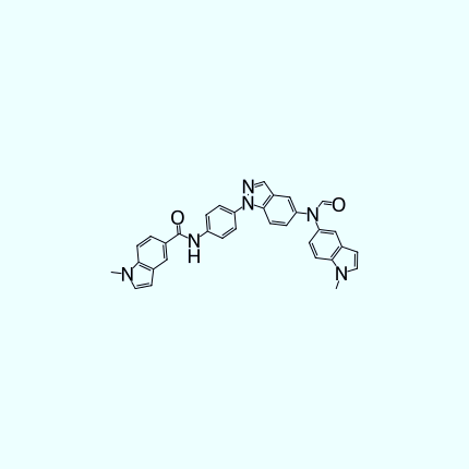 Cn1ccc2cc(C(=O)Nc3ccc(-n4ncc5cc(N(C=O)c6ccc7c(ccn7C)c6)ccc54)cc3)ccc21